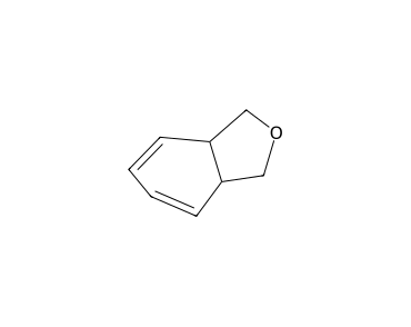 C1=CC2COCC2C=C1